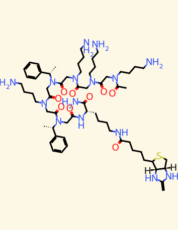 C=C1N[C@H]2CSC(CCCCC(=O)NCCCC[C@H](NC(=O)CN(C(=O)CN(CCCCN)C(=O)CN(C(=O)CN(CCCCN)C(=O)CN(CCCCN)C(=O)CN(CCCCN)C(C)=O)[C@@H](C)c3ccccc3)[C@@H](C)c3ccccc3)C(N)=O)[C@H]2N1